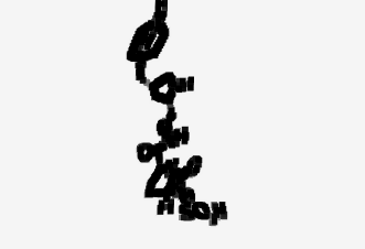 O=C(NOC[C@@H]1C[C@H](C[SH]2CCNCC2)CN1)[C@@H]1CC[C@@H]2CN1C(=O)N2OS(=O)(=O)O